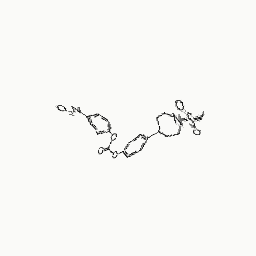 CS(=O)(=O)N1CCC(c2ccc(OC(=O)Oc3ccc([N+](=O)[O-])cc3)cc2)CC1